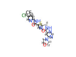 C[C@H](NC(=O)c1cc(N2CCOCC2)ncn1)c1ncc(C(=O)Nc2cc(C(F)(F)F)c(Cl)cn2)s1